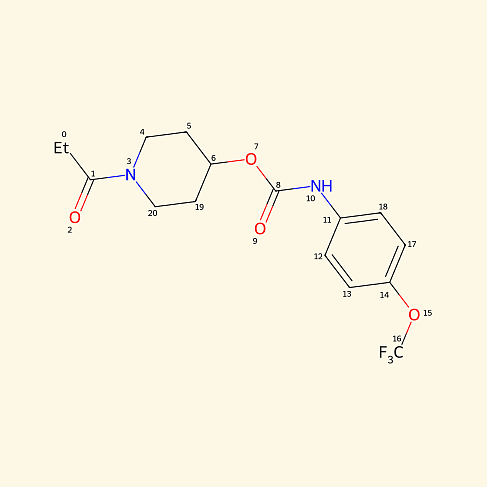 CCC(=O)N1CCC(OC(=O)Nc2ccc(OC(F)(F)F)cc2)CC1